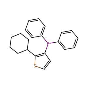 c1ccc(P(c2ccccc2)c2ccsc2C2CCCCC2)cc1